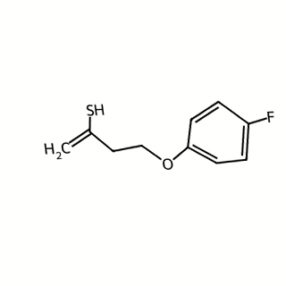 C=C(S)CCOc1ccc(F)cc1